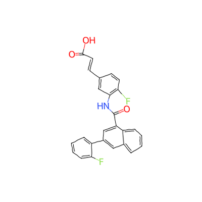 O=C(O)C=Cc1ccc(F)c(NC(=O)c2cc(-c3ccccc3F)cc3ccccc23)c1